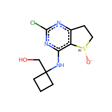 [O-][S@@+]1CCc2nc(Cl)nc(NC3(CO)CCC3)c21